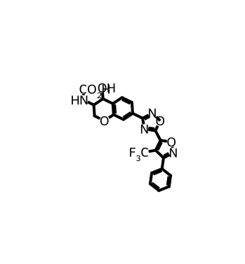 O=C(O)NC1COc2cc(-c3noc(-c4onc(-c5ccccc5)c4C(F)(F)F)n3)ccc2C1O